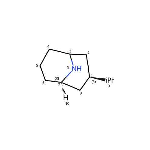 CC(C)[C@@H]1CC2CCC[C@H](C1)N2